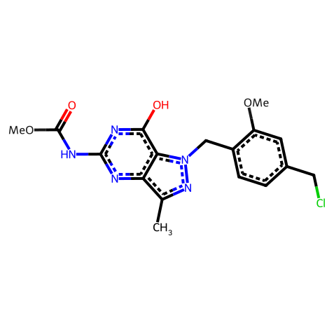 COC(=O)Nc1nc(O)c2c(n1)c(C)nn2Cc1ccc(CCl)cc1OC